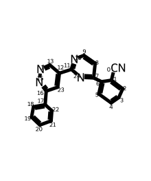 N#Cc1ccccc1-c1ccnc(-c2cnnc(-c3ccccc3)c2)n1